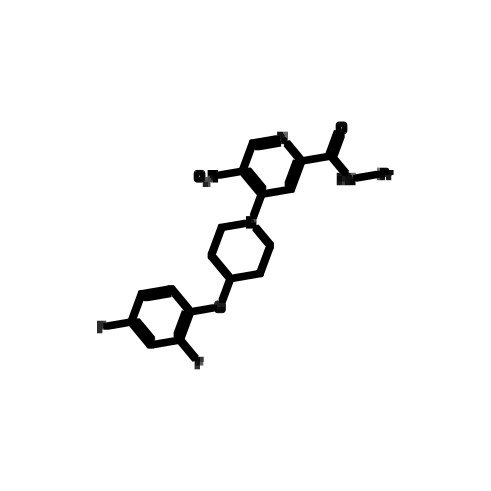 CC(C)NC(=O)c1cc(N2CCC(Oc3ccc(F)cc3F)CC2)c([N+](=O)[O-])cn1